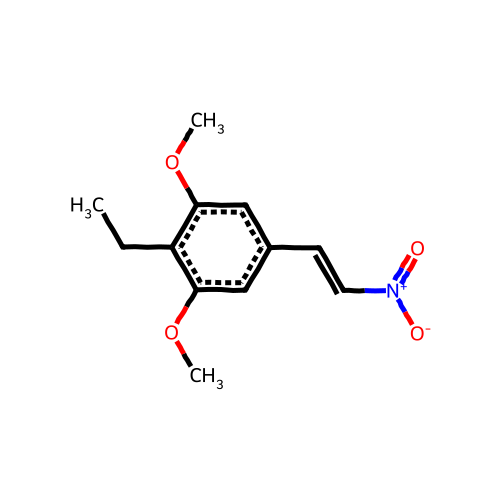 CCc1c(OC)cc(C=C[N+](=O)[O-])cc1OC